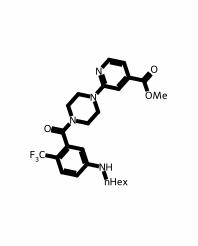 CCCCCCNc1ccc(C(F)(F)F)c(C(=O)N2CCN(c3cc(C(=O)OC)ccn3)CC2)c1